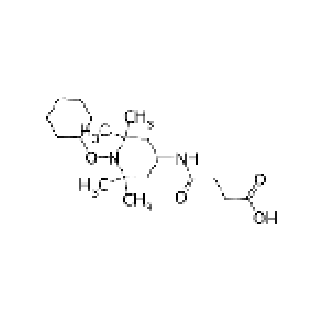 CC1(C)CC(NC(=O)CCC(=O)O)CC(C)(C)N1OC1CCCCC1